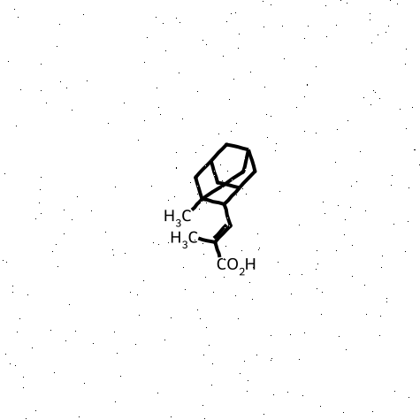 CC(=CC1C2CC3CC(C2)CC1(C)C3)C(=O)O